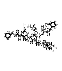 C=CCOC(=O)[C@H](CCCC(N)C(=O)OCc1ccccc1Cl)N(CCNC(=O)OC(C)(C)C)C(=O)Cn1cnc2c(NC(=O)OCc3ccccc3)nc(N)nc21